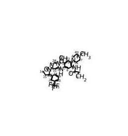 C=CC(=O)Nc1cc(Nc2cc(N3OCC[C@@H]3c3cccc(C(F)(F)F)c3)ncn2)c(OC)cc1N1CCN(C)CC1